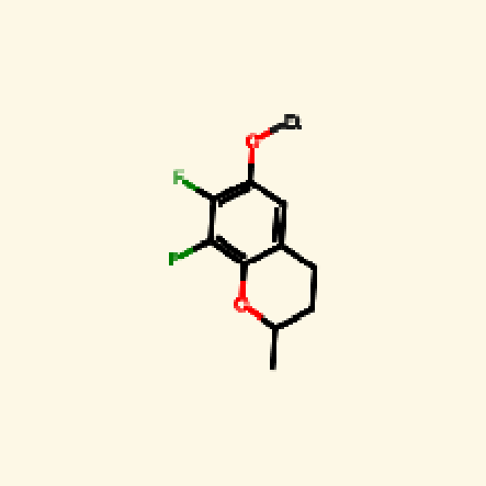 CCOc1cc2c(c(F)c1F)OC(C)CC2